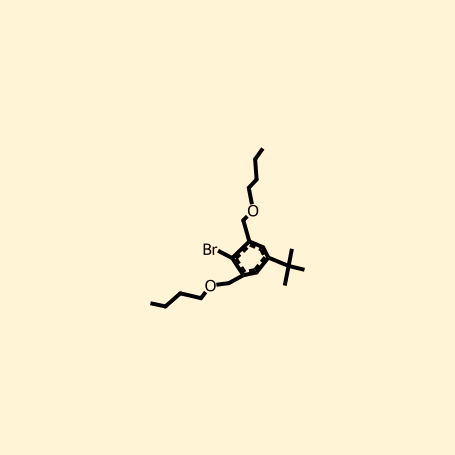 CCCCOCc1cc(C(C)(C)C)cc(COCCCC)c1Br